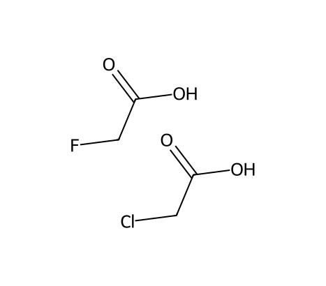 O=C(O)CCl.O=C(O)CF